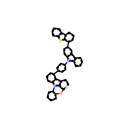 c1ccc2c(c1)Oc1cccc3c4c(-c5ccc(-n6c7ccccc7c7cc(-c8cccc9c8sc8ccccc89)ccc76)cc5)cccc4n-2c13